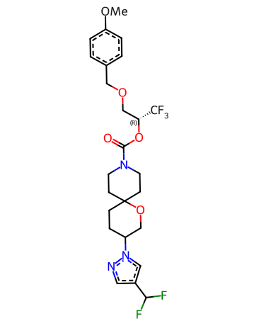 COc1ccc(COC[C@@H](OC(=O)N2CCC3(CCC(n4cc(C(F)F)cn4)CO3)CC2)C(F)(F)F)cc1